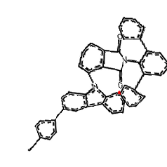 Cc1ccc(-c2ccc3c(c2)c2ccccc2n3-c2cccc3c2C(=O)N(c2c(-c4ccccc4)cccc2-c2ccccc2)C3=O)cc1